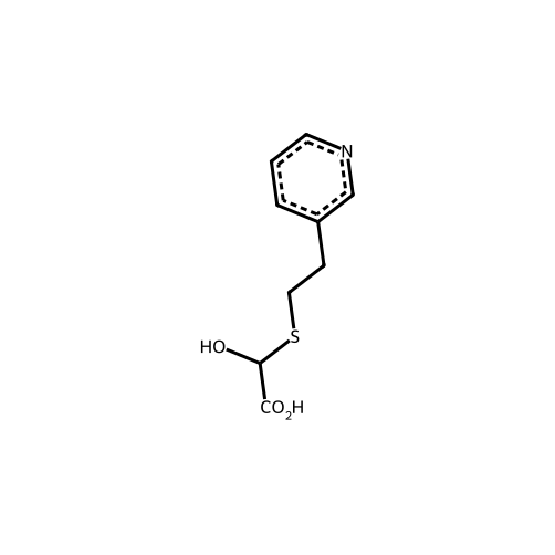 O=C(O)C(O)SCCc1cccnc1